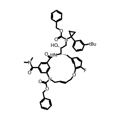 CN(C)C(=O)c1cc2cc(c1)N(C(=O)OCc1ccccc1)C/C=C/COc1cc(ccc1F)C[C@@H]([C@H](O)CN(C(=O)OCc1ccccc1)C1(c3cccc(C(C)(C)C)c3)CC1)NC2=O